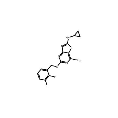 Nc1nc(SCc2cccc(F)c2F)nc2nc(NC3CC3)sc12